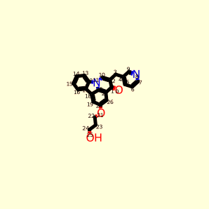 O=c1c(Cc2cccnc2)cn2c3ccccc3c3cc(OCCCO)cc1c32